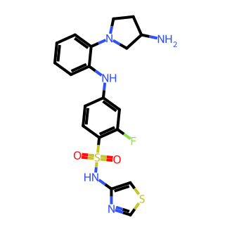 NC1CCN(c2ccccc2Nc2ccc(S(=O)(=O)Nc3cscn3)c(F)c2)C1